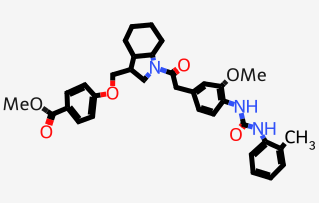 COC(=O)c1ccc(OCC2CN(C(=O)Cc3ccc(NC(=O)Nc4ccccc4C)c(OC)c3)C3CCCCC23)cc1